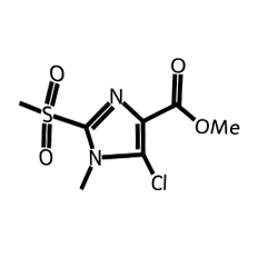 COC(=O)c1nc(S(C)(=O)=O)n(C)c1Cl